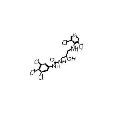 O=C(NCC(O)CNc1c(Cl)cncc1Cl)Nc1cc(Cl)c(Cl)c(Cl)c1